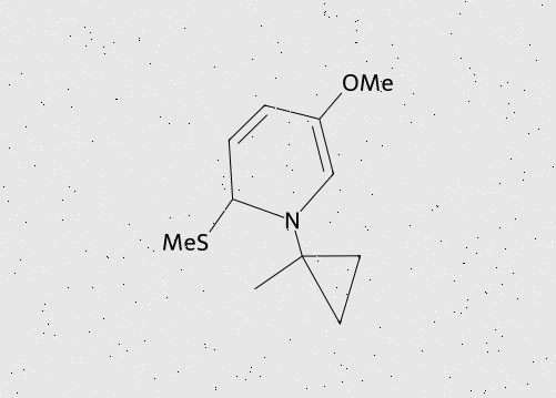 COC1=CN(C2(C)CC2)C(SC)C=C1